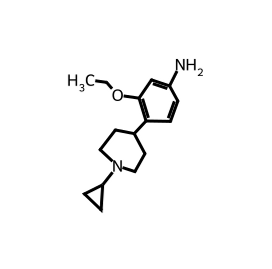 CCOc1cc(N)ccc1C1CCN(C2CC2)CC1